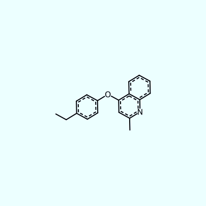 CCc1ccc(Oc2cc(C)nc3ccccc23)cc1